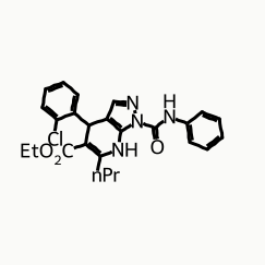 CCCC1=C(C(=O)OCC)C(c2ccccc2Cl)c2cnn(C(=O)Nc3ccccc3)c2N1